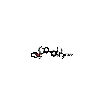 COC(=O)Nc1nc2ccc(-c3ccc4c(c3)CN(C(=O)N3C5CCC3CC(=O)C5)CCO4)cc2[nH]1